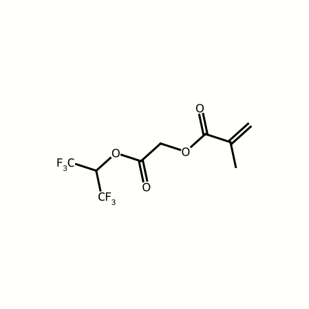 C=C(C)C(=O)OCC(=O)OC(C(F)(F)F)C(F)(F)F